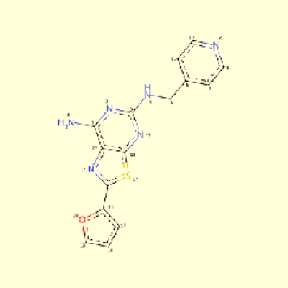 Nc1nc(NCc2ccncc2)nc2sc(-c3ccco3)nc12